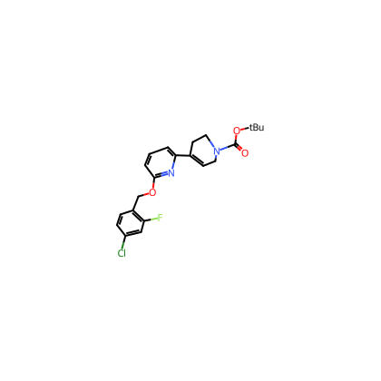 CC(C)(C)OC(=O)N1CC=C(c2cccc(OCc3ccc(Cl)cc3F)n2)CC1